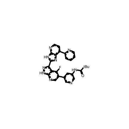 CC(C)(C)C(=O)Nc1cncc(-c2cnc3[nH]nc(-c4nc5c(-c6ccccn6)ccnc5[nH]4)c3c2F)c1